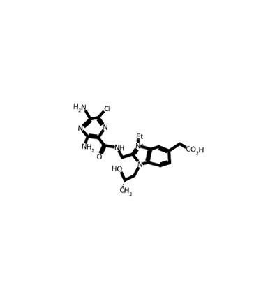 CC[n+]1c(CNC(=O)c2nc(Cl)c(N)nc2N)n(C[C@H](C)O)c2ccc(CC(=O)O)cc21